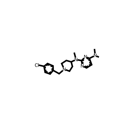 CN(C)c1ccnc(N(C)C2CCN(Cc3ccc(Cl)cc3)CC2)n1